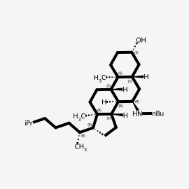 CCCCN[C@@H]1C[C@H]2C[C@@H](O)CC[C@]2(C)[C@H]2CC[C@]3(C)[C@@H]([C@H](C)CCCC(C)C)CC[C@H]3[C@H]12